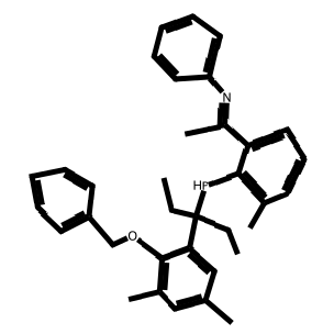 CCC(CC)(Pc1c(C)cccc1/C(C)=N/c1ccccc1)c1cc(C)cc(C)c1OCc1ccccc1